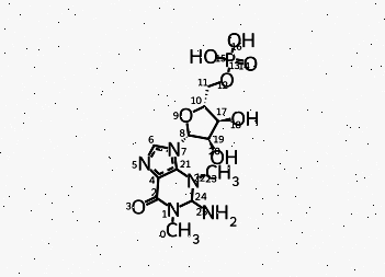 CN1C(=O)c2ncn([C@@H]3O[C@H](COP(=O)(O)O)[C@@H](O)[C@H]3O)c2N(C)C1N